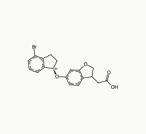 O=C(O)CC1COc2cc(O[C@@H]3CCc4c(Br)cccc43)ccc21